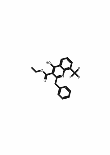 CCOC(=O)c1c(Cc2ccccc2)nc2c(C(F)(F)F)cccc2c1O